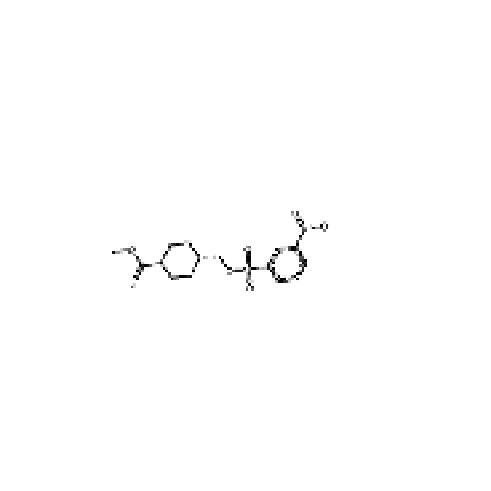 COC(=O)[C@H]1CC[C@H](COS(=O)(=O)c2cccc([N+](=O)[O-])c2)CC1